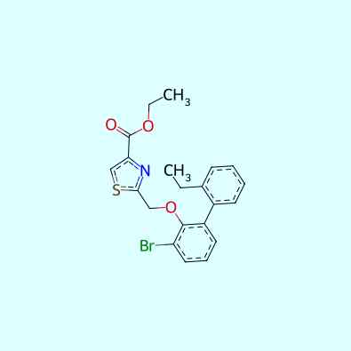 CCOC(=O)c1csc(COc2c(Br)cccc2-c2ccccc2CC)n1